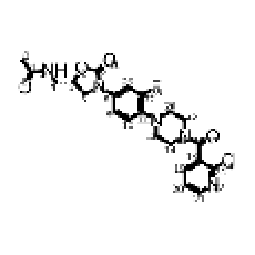 CC(=O)NC[C@H]1CN(c2ccc(N3CCN(C(=O)c4cccnc4Cl)CC3)c(F)c2)C(=O)O1